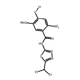 CCOc1cc([N+](=O)[O-])c(C(=O)Nc2nnc(C(CC)CC)s2)cc1OC